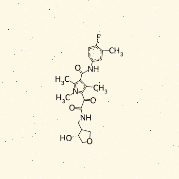 Cc1cc(NC(=O)c2c(C)c(C(=O)C(=O)NCC3COC[C@@H]3O)n(C)c2C)ccc1F